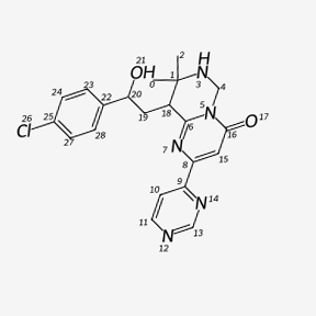 CC1(C)NCn2c(nc(-c3ccncn3)cc2=O)C1CC(O)c1ccc(Cl)cc1